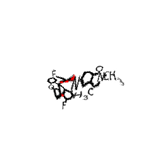 Cc1cn(C)c(=O)c2ccc(N3c4ccc(F)cc4C4(c5ccccc5Oc5ccccc54)c4cc(F)ccc43)cc12